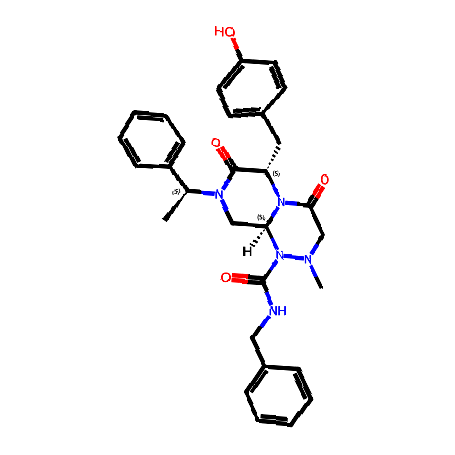 C[C@@H](c1ccccc1)N1C[C@H]2N(C(=O)CN(C)N2C(=O)NCc2ccccc2)[C@@H](Cc2ccc(O)cc2)C1=O